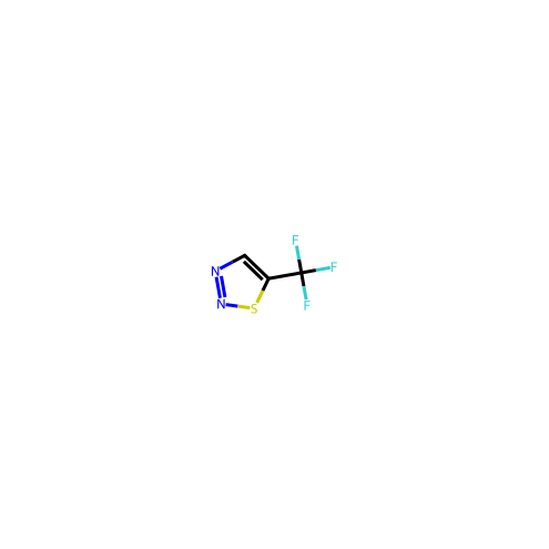 FC(F)(F)c1cnns1